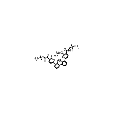 COc1nc(-c2cccc(-c3cccc(-c4ccc(C(=O)NCC(C)(C)N)c(OC)n4)c3Cl)c2Cl)ccc1C(=O)NCC(C)(C)N